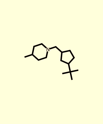 CC1CCN(CC2CCC(C(C)(C)C)C2)CC1